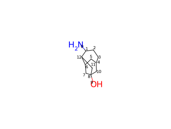 NC1CCC2CC3CC(O)(C2)CC13